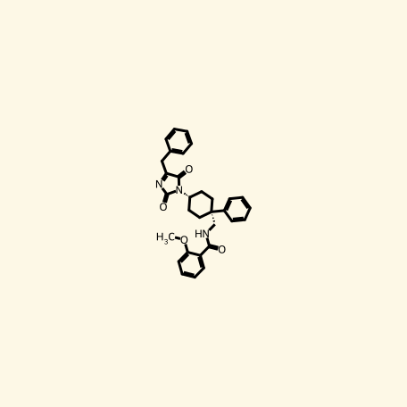 COc1ccccc1C(=O)NC[C@]1(c2ccccc2)CC[C@H](N2C(=O)N=C(Cc3ccccc3)C2=O)CC1